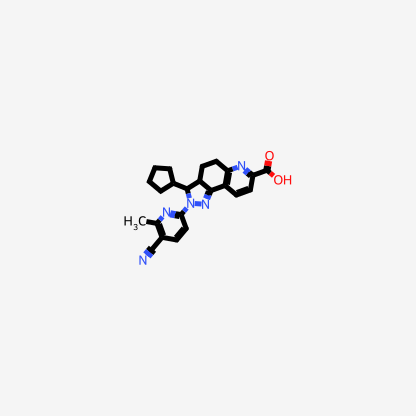 Cc1nc(N2N=C3c4ccc(C(=O)O)nc4CCC3C2C2CCCC2)ccc1C#N